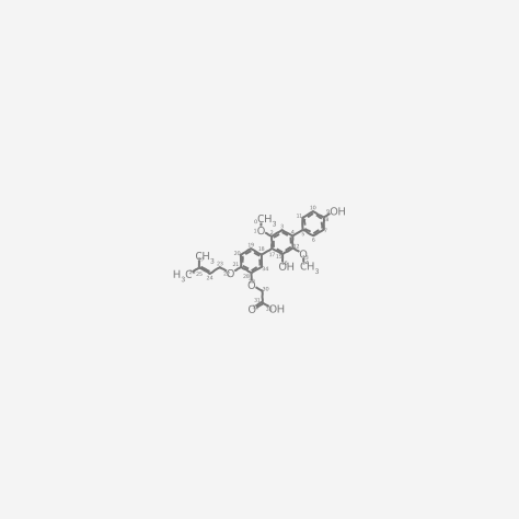 COc1cc(-c2ccc(O)cc2)c(OC)c(O)c1-c1ccc(OCC=C(C)C)c(OCC(=O)O)c1